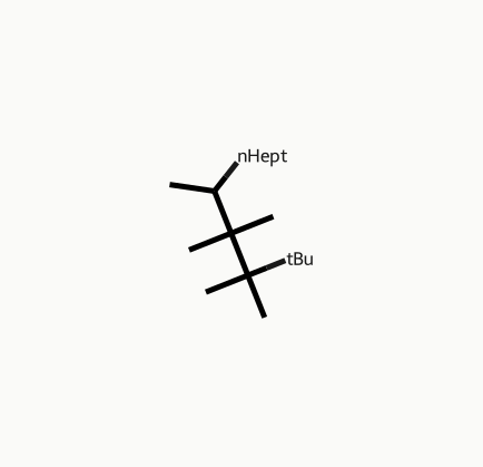 CCCCCCCC(C)C(C)(C)C(C)(C)C(C)(C)C